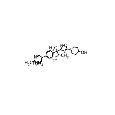 C=C(N)/N=C\C(=C/N)c1ccc([C@](C)(c2noc(N3CCC(O)CC3)n2)C(C)C)cc1